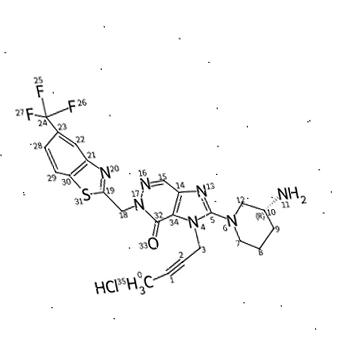 CC#CCn1c(N2CCC[C@@H](N)C2)nc2cnn(Cc3nc4cc(C(F)(F)F)ccc4s3)c(=O)c21.Cl